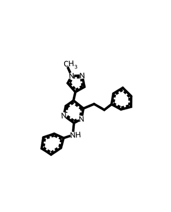 Cn1cc(-c2cnc(Nc3ccccc3)nc2CCc2ccccc2)cn1